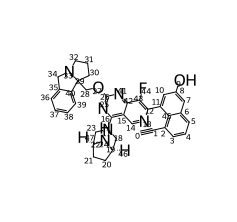 C#Cc1cccc2cc(O)cc(-c3ncc4c(N5C[C@H]6CC[C@@H](C5)N6)nc(OCC56CCCN5Cc5ccccc56)nc4c3F)c12